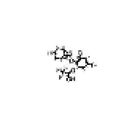 Fc1ccc(OCC2C3CCC2CNC3)c(Cl)c1.O=C(O)C(F)(F)F